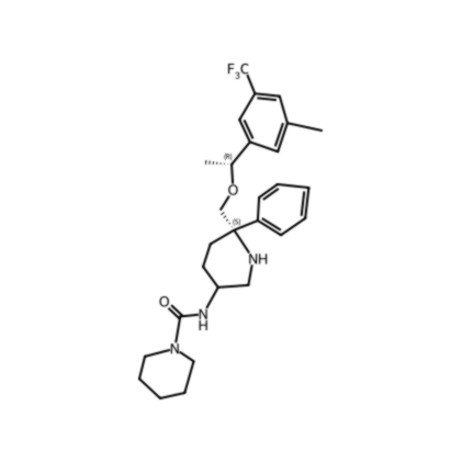 Cc1cc([C@@H](C)OC[C@@]2(c3ccccc3)CCC(NC(=O)N3CCCCC3)CN2)cc(C(F)(F)F)c1